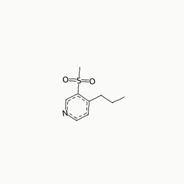 CCCc1ccncc1S(C)(=O)=O